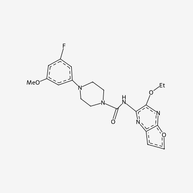 CCOc1nc2occc2nc1NC(=O)N1CCN(c2cc(F)cc(OC)c2)CC1